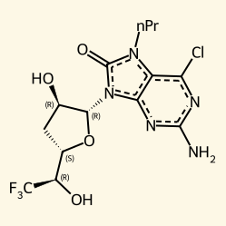 CCCn1c(=O)n([C@@H]2O[C@H]([C@@H](O)C(F)(F)F)C[C@H]2O)c2nc(N)nc(Cl)c21